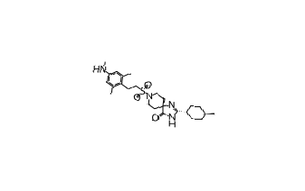 CNc1cc(C)c(CCS(=O)(=O)N2CCC3(CC2)N=C([C@H]2CC[C@H](C)CC2)NC3=O)c(C)c1